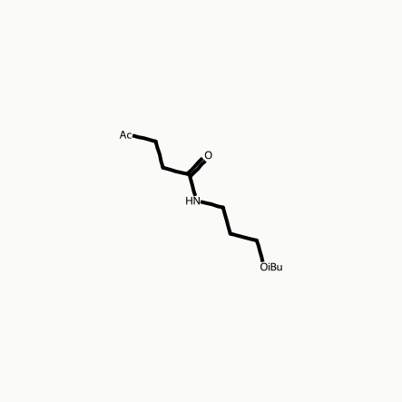 CC(=O)CCC(=O)NCCCOCC(C)C